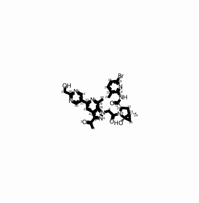 CC(=O)c1nn(CC(=O)N2[C@H](C(=O)Nc3nc(Br)ccc3C)C[C@@]3(C)C[C@@]23O)c2c(C)nc(-c3cnc(CO)nc3)cc12